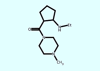 CCNC1CCCC1C(=O)N1CCN(C)CC1